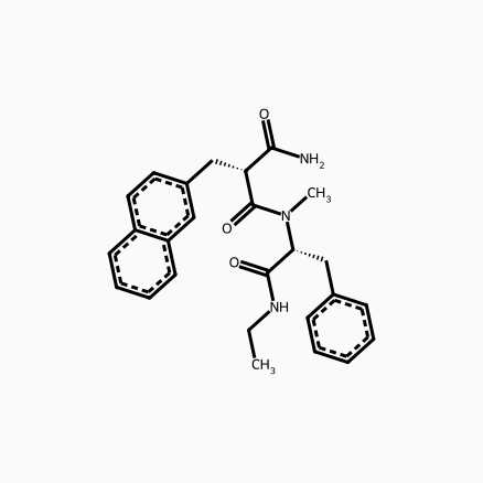 CCNC(=O)[C@@H](Cc1ccccc1)N(C)C(=O)[C@H](Cc1ccc2ccccc2c1)C(N)=O